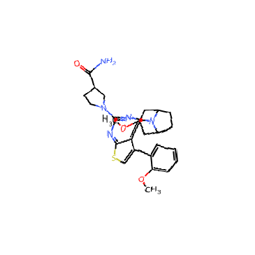 COc1ccccc1-c1csc2nc(N3CCC(C(N)=O)C3)nc(N3C4CCC3CC(OC)C4)c12